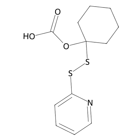 O=C(O)OC1(SSc2ccccn2)CCCCC1